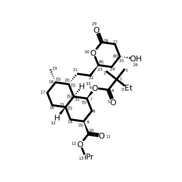 CCC(C)(C)C(=O)O[C@H]1C[C@@H](C(=O)OC(C)C)C[C@@H]2CC[C@H](C)[C@H](CC[C@@H]3C[C@@H](O)CC(=O)O3)[C@H]21